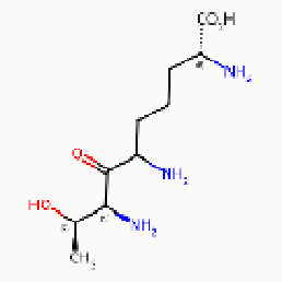 C[C@@H](O)[C@H](N)C(=O)C(N)CCC[C@@H](N)C(=O)O